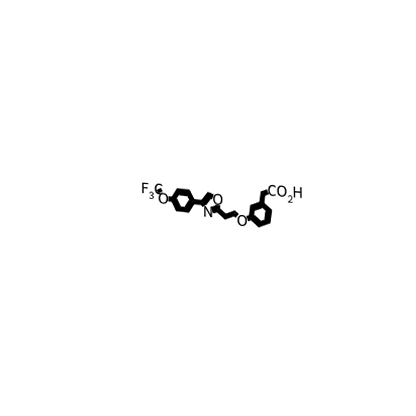 O=C(O)Cc1cccc(OCCc2nc(-c3ccc(OC(F)(F)F)cc3)co2)c1